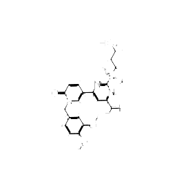 COc1ccc(Cn2cc(-c3cc(C(F)F)nc(S(=O)(=O)CCCO)n3)ccc2=O)cc1OC